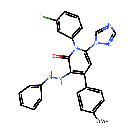 COc1ccc(-c2cc(-n3cncn3)n(-c3cccc(Cl)c3)c(=O)c2NNc2ccccc2)cc1